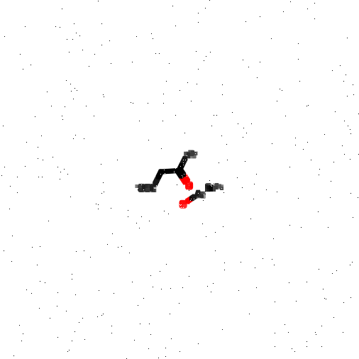 CC(=O)[O-].CCCC(=O)CC(=O)[O-].[Sn+2]